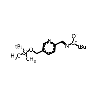 CC(C)(C)[S+]([O-])N=Cc1ccc(CO[Si](C)(C)C(C)(C)C)cn1